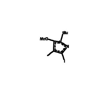 COc1c(C)c(I)nn1C(C)(C)C